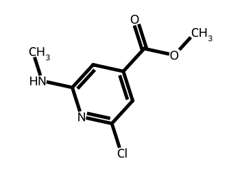 CNc1cc(C(=O)OC)cc(Cl)n1